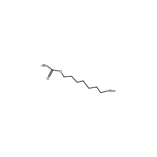 [CH2]CCCC(=O)OCCCCCCCCCCCCCCCC